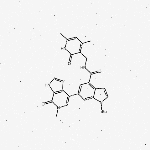 CCC(C)n1ccc2c(C(=O)NCc3c(C)cc(C)[nH]c3=O)cc(-c3cn(C)c(=O)c4[nH]ccc34)cc21